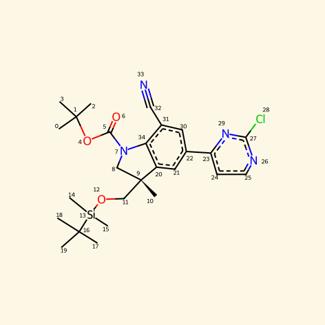 CC(C)(C)OC(=O)N1C[C@@](C)(CO[Si](C)(C)C(C)(C)C)c2cc(-c3ccnc(Cl)n3)cc(C#N)c21